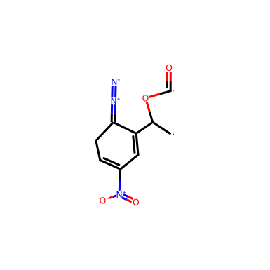 [CH2]C(O[C]=O)C1=CC([N+](=O)[O-])=CCC1=[N+]=[N-]